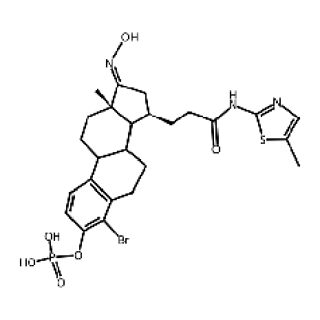 Cc1cnc(NC(=O)CC[C@@H]2C/C(=N\O)[C@@]3(C)CCC4c5ccc(OP(=O)(O)O)c(Br)c5CCC4C23)s1